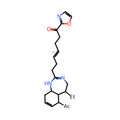 CCC1CN=C(CC/C=C/CCC(=O)c2ncco2)NC2CC=CC(C(C)=O)C12